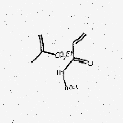 C=C(C)C(=O)OCC.C=CC(=O)NCCCCCCCC